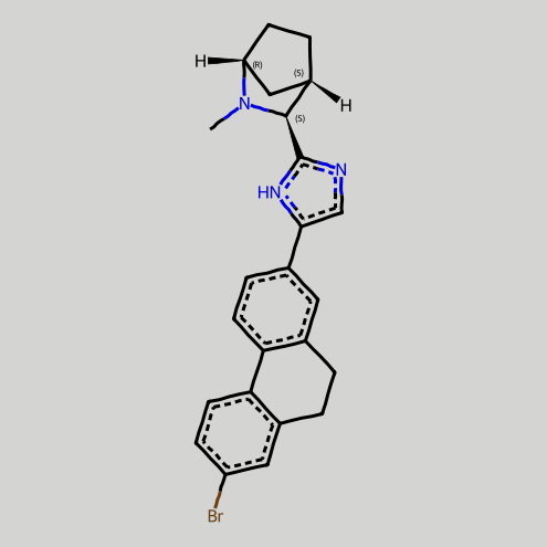 CN1[C@@H]2CC[C@@H](C2)[C@H]1c1ncc(-c2ccc3c(c2)CCc2cc(Br)ccc2-3)[nH]1